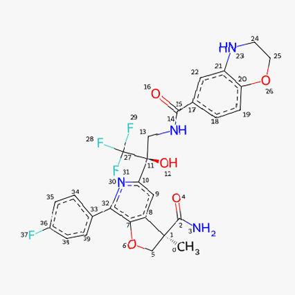 C[C@]1(C(N)=O)COc2c1cc([C@@](O)(CNC(=O)c1ccc3c(c1)NCCO3)C(F)(F)F)nc2-c1ccc(F)cc1